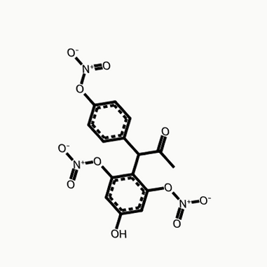 CC(=O)C(c1ccc(O[N+](=O)[O-])cc1)c1c(O[N+](=O)[O-])cc(O)cc1O[N+](=O)[O-]